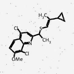 COc1ccc2c(Cl)cc(C(C)S/C=C(\C)C3CC3)nc2c1Cl